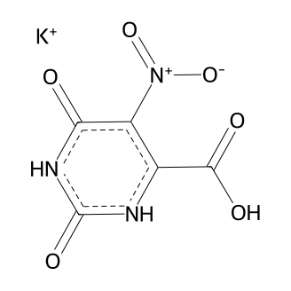 O=C(O)c1[nH]c(=O)[nH]c(=O)c1[N+](=O)[O-].[K+]